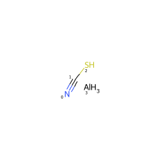 N#CS.[AlH3]